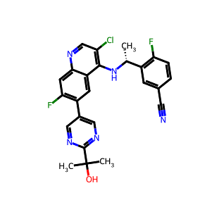 C[C@@H](Nc1c(Cl)cnc2cc(F)c(-c3cnc(C(C)(C)O)nc3)cc12)c1cc(C#N)ccc1F